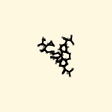 C=C(c1ccc2c(c1)CCc1cc(C(=O)N(C)C)ccc1C2(CCNCC(=C)N(C(C)C#N)C1CC1)C(=N)NC)N(C)C